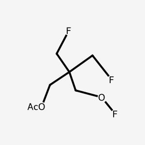 CC(=O)OCC(CF)(CF)COF